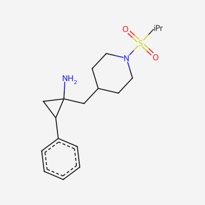 CC(C)S(=O)(=O)N1CCC(CC2(N)CC2c2ccccc2)CC1